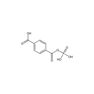 O=C(O)c1ccc(C(=O)OP(=O)(O)O)cc1